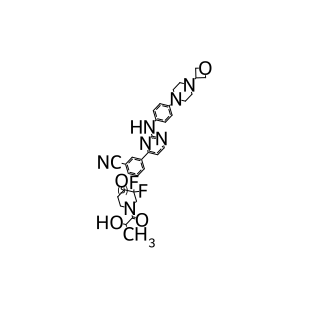 CC(O)C(=O)N1CC[C@H](Oc2ccc(-c3ccnc(Nc4ccc(N5CCN(C6COC6)CC5)cc4)n3)cc2C#N)C(F)(F)C1